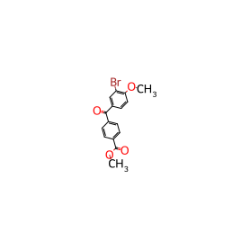 COC(=O)c1ccc(C(=O)c2ccc(OC)c(Br)c2)cc1